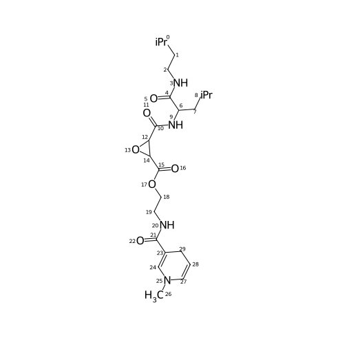 CC(C)CCNC(=O)C(CC(C)C)NC(=O)C1OC1C(=O)OCCNC(=O)C1=CN(C)C=CC1